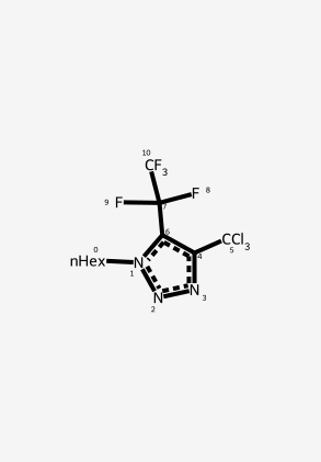 CCCCCCn1nnc(C(Cl)(Cl)Cl)c1C(F)(F)C(F)(F)F